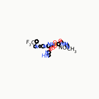 CN1CCN(C[C@H]2COc3cc(S(=O)(=O)NC(=O)c4ncc(N5CCC6(CC5)CC(N5CCCC5c5ccccc5C(F)(F)F)C6)cc4Oc4cnc5[nH]ccc5c4)cc(N=O)c3N2)CC1